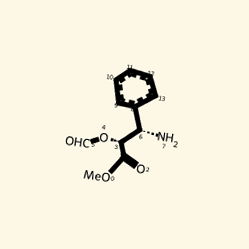 COC(=O)[C@H](OC=O)[C@@H](N)c1ccccc1